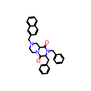 O=C1C(Cc2ccccc2)N(Cc2ccccc2)C(=O)C2CN(Cc3ccc4ccccc4c3)CCN12